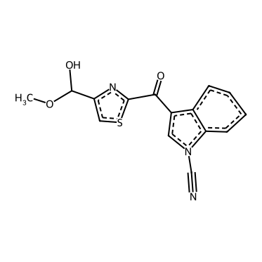 COC(O)c1csc(C(=O)c2cn(C#N)c3ccccc23)n1